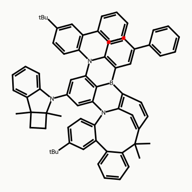 CC(C)(C)c1ccc(N2c3ccc(-c4ccccc4)cc3B3c4ccc5cc4N(c4ccc(C(C)(C)C)cc4-c4ccccc4C5(C)C)c4cc(N5c6ccccc6C6(C)CCC56C)cc2c43)c(-c2ccccc2)c1